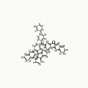 c1ccc(-c2ccc(N(c3cccc(C4(c5ccc6ccccc6c5)c5ccccc5-c5ccccc54)c3)c3ccc4c(c3)oc3cc5ccccc5cc34)cc2)cc1